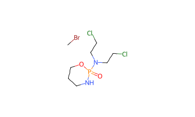 CBr.O=P1(N(CCCl)CCCl)NCCCO1